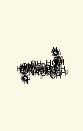 N[C@@]1(CO[PH]2(O)OCC[C@H](c3ccncc3)O2)O[C@H](OC(=O)C(O)C(O)C(=O)O[C@H]2O[C@@](N)(CO[PH]3(O)OCC[C@H](c4ccncc4)O3)[C@H](O)[C@H]2O)[C@H](O)[C@H]1O